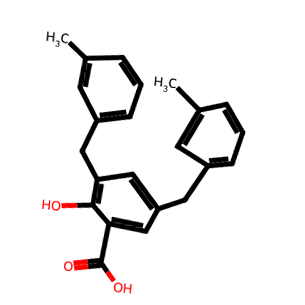 Cc1cccc(Cc2cc(Cc3cccc(C)c3)c(O)c(C(=O)O)c2)c1